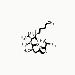 CCCCCNC(=O)[C@H](C(C)C)N(N)C(=O)N(C)Cc1csc(C(C)C)n1